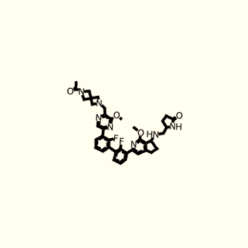 COc1nc(-c2cccc(-c3cccc(-c4cc5c(c(OC)n4)C(NCC4CCC(=O)N4)CC5)c3F)c2F)cnc1CN1CC2(C1)CN(C(C)=O)C2